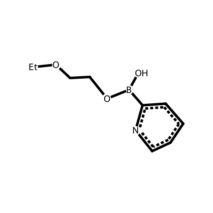 CCOCCOB(O)c1ccccn1